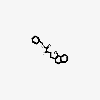 O=C(CCc1ccc2ccccc2c1Cl)C(=O)OCc1ccccc1